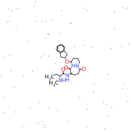 CCC(NC)C(=O)N[C@H]1CCC(=O)N2CCCC(OC3Cc4ccccc4C3)N2C1=O